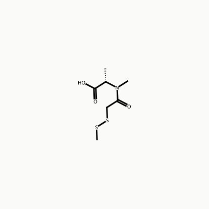 CSSCC(=O)N(C)[C@@H](C)C(=O)O